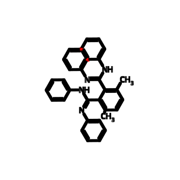 Cc1ccc(C)c(C(=Nc2ccccc2)Nc2ccccc2)c1C(=Nc1ccccc1)Nc1ccccc1